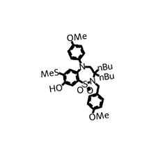 CCCCC1(CCCC)CN(c2ccc(OC)cc2)c2cc(SC)c(O)cc2S(=O)(=O)N1Cc1ccc(OC)cc1